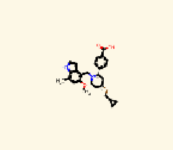 COc1cc(C)c2[nH]ccc2c1CN1CC[C@H](SCC2CC2)C[C@H]1c1ccc(C(=O)O)cc1